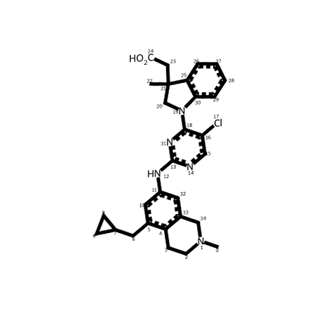 CN1CCc2c(CC3CC3)cc(Nc3ncc(Cl)c(N4CC(C)(CC(=O)O)c5ccccc54)n3)cc2C1